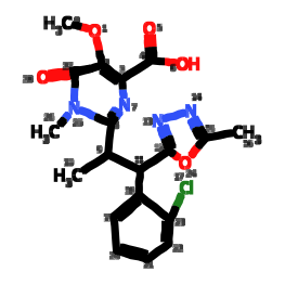 COc1c(C(=O)O)nc(C(C)C(c2nnc(C)o2)c2ccccc2Cl)n(C)c1=O